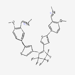 C/N=C/c1cc(-c2cc(C3=C(c4csc(-c5ccc(OC)c(/C=N/C)c5)c4)C(F)(F)C(F)(F)C3(F)F)cs2)ccc1OC